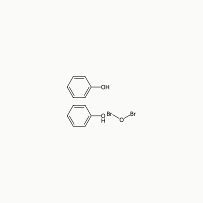 BrOBr.Oc1ccccc1.Oc1ccccc1